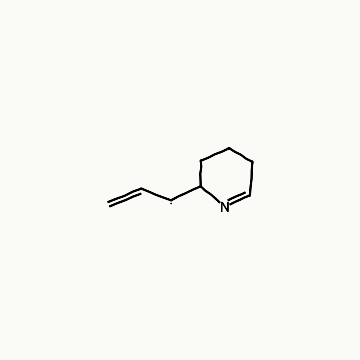 C=C[CH]C1CCCC=N1